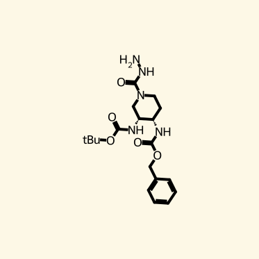 CC(C)(C)OC(=O)N[C@@H]1CN(C(=O)NN)CC[C@@H]1NC(=O)OCc1ccccc1